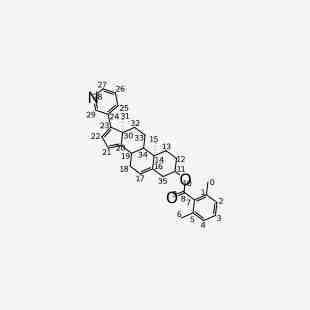 Cc1cccc(C)c1C(=O)OC1CC[C@@]2(C)C(=CCC3C4=CC=C(c5cccnc5)[C@@]4(C)CCC32)C1